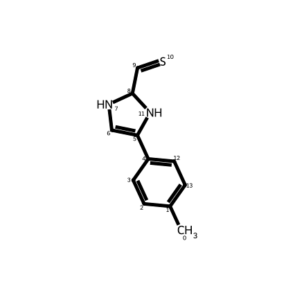 Cc1ccc(C2=CNC(C=S)N2)cc1